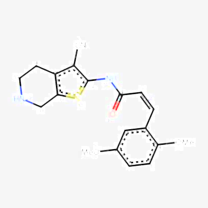 COc1ccc(OC)c(/C=C\C(=O)Nc2sc3c(c2C#N)CCNC3)c1